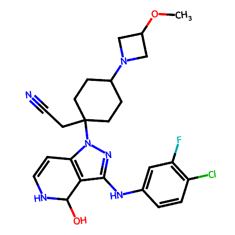 COC1CN(C2CCC(CC#N)(n3nc(Nc4ccc(Cl)c(F)c4)c4c3C=CNC4O)CC2)C1